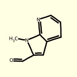 Cn1c(C=O)cc2cccnc21